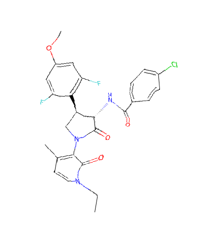 CCn1ccc(C)c(N2C[C@@H](c3c(F)cc(OC)cc3F)[C@H](NC(=O)c3ccc(Cl)cc3)C2=O)c1=O